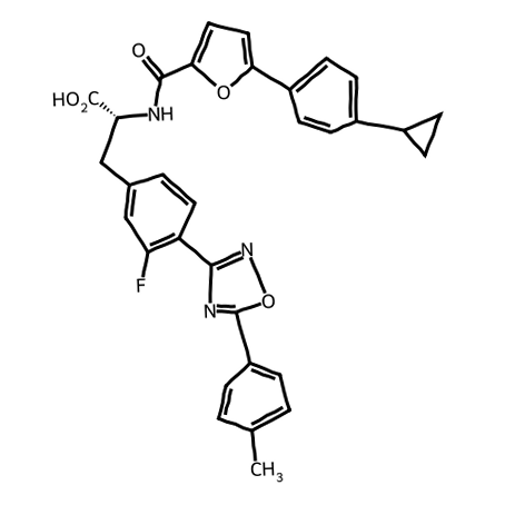 Cc1ccc(-c2nc(-c3ccc(C[C@@H](NC(=O)c4ccc(-c5ccc(C6CC6)cc5)o4)C(=O)O)cc3F)no2)cc1